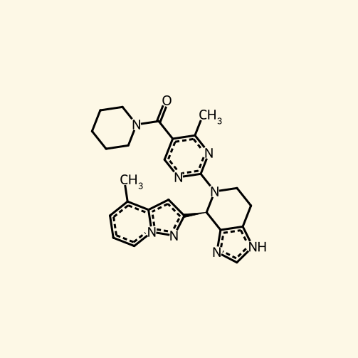 Cc1nc(N2CCc3[nH]cnc3[C@H]2c2cc3c(C)cccn3n2)ncc1C(=O)N1CCCCC1